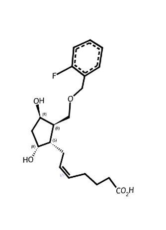 O=C(O)CCC/C=C\C[C@H]1[C@H](COCc2ccccc2F)[C@H](O)C[C@H]1O